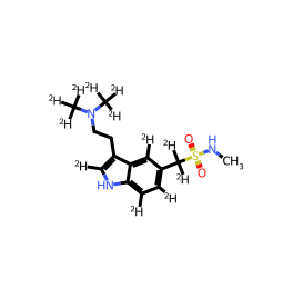 [2H]c1[nH]c2c([2H])c([2H])c(C([2H])([2H])S(=O)(=O)NC)c([2H])c2c1CCN(C([2H])([2H])[2H])C([2H])([2H])[2H]